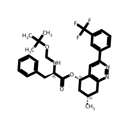 C[C@H]1Cc2nnc(-c3cccc(C(F)(F)F)c3)cc2[C@@H](OC(=O)[C@@H](Cc2ccccc2)NCOC(C)(C)C)C1